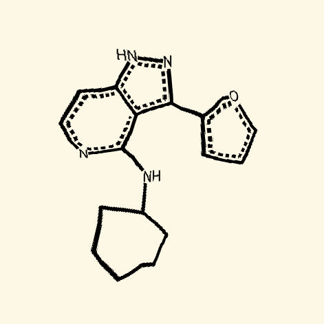 c1coc(-c2n[nH]c3ccnc(NC4CCCCC4)c23)c1